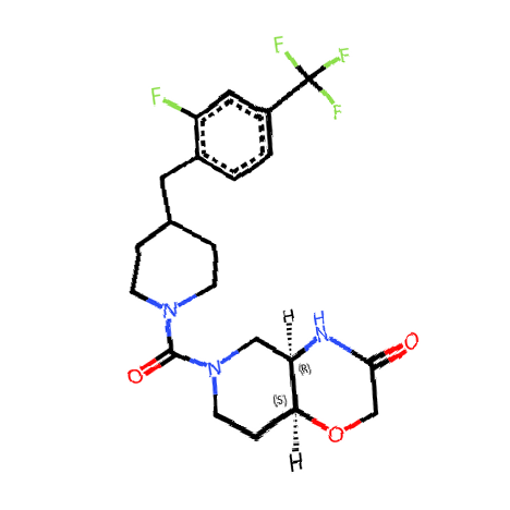 O=C1CO[C@H]2CCN(C(=O)N3CCC(Cc4ccc(C(F)(F)F)cc4F)CC3)C[C@H]2N1